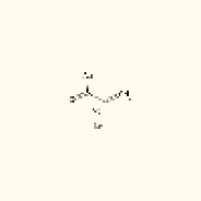 C=C[C](=O)[Au].[Nb].[Ta]